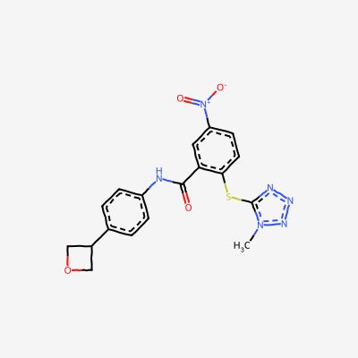 Cn1nnnc1Sc1ccc([N+](=O)[O-])cc1C(=O)Nc1ccc(C2COC2)cc1